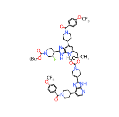 CC(C)(C)OC(=O)N1CCC(c2nc3c(C4CCN(C(=O)c5ccc(OC(F)(F)F)cc5)CC4)cc(CC(C)(C)OC(=O)N4CC=C(c5nc6c(C7CCN(C(=O)c8ccc(OC(F)(F)F)cc8)CC7)ccnc6[nH]5)CC4)nc3[nH]2)C(F)C1